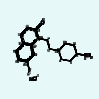 Cl.NC1CCN(CCn2c(=O)ccc3ccc(F)cc32)CC1